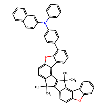 CC1(C)C2=C(c3c1ccc1oc4c(-c5ccc(N(c6ccccc6)c6ccc7ccccc7c6)cc5)cccc4c31)C(C)(C)c1c2ccc2oc3ccccc3c12